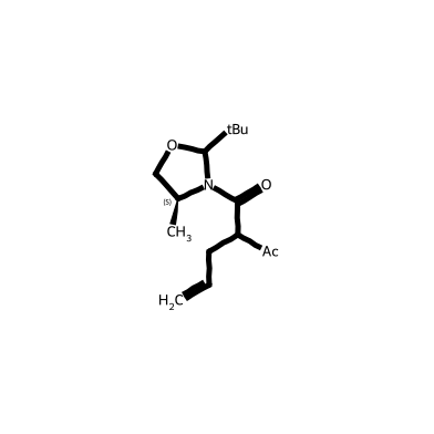 C=CCC(C(C)=O)C(=O)N1C(C(C)(C)C)OC[C@@H]1C